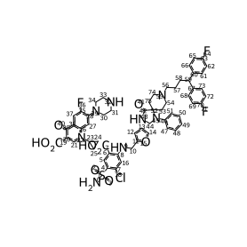 NS(=O)(=O)c1cc(C(=O)O)c(NCc2ccco2)cc1Cl.O=C(O)c1cn(C2CC2)c2cc(N3CCNCC3)c(F)cc2c1=O.O=C1NCN(c2ccccc2)C12CCN(CCCC(c1ccc(F)cc1)c1ccc(F)cc1)CC2